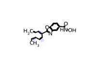 C=C\C=C(/C=C\C=C/C)c1nc2cc(C(=O)NO)ccc2o1